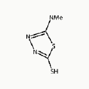 CNc1nnc(S)s1